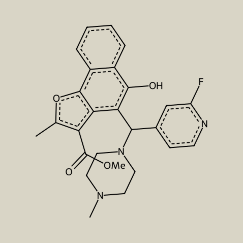 COC(=O)c1c(C)oc2c1c(C(c1ccnc(F)c1)N1CCN(C)CC1)c(O)c1ccccc12